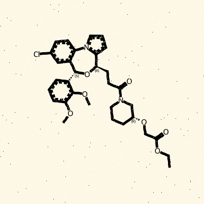 CCOC(=O)CO[C@@H]1CCCN(C(=O)CC[C@H]2O[C@H](c3cccc(OC)c3OC)c3cc(Cl)ccc3-n3cccc32)C1